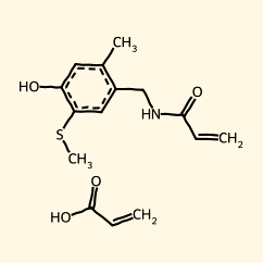 C=CC(=O)NCc1cc(SC)c(O)cc1C.C=CC(=O)O